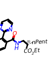 CCCCC[C@@H](CNC(=O)c1cc(C)ccc1-c1ncccn1)C(=O)OCC